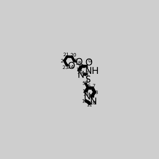 O=c1[nH]c(SCc2ccc3nccn3c2)ncc1OC1CCCCO1